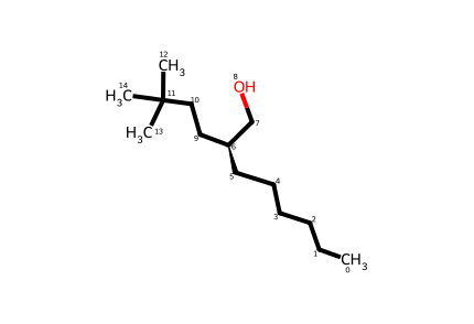 CCCCCC[C@H](CO)CCC(C)(C)C